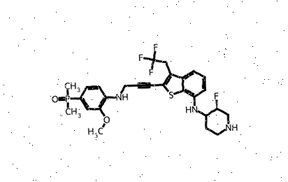 COc1cc(P(C)(C)=O)ccc1NCC#Cc1sc2c(NC3CCNC[C@@H]3F)cccc2c1CC(F)(F)F